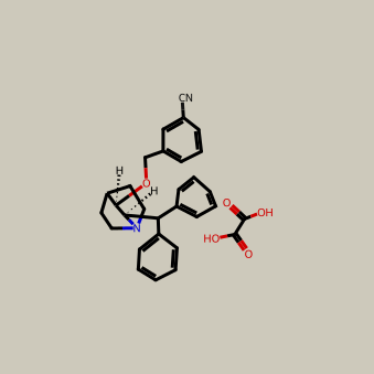 N#Cc1cccc(CO[C@@H]2C3CCN(CC3)[C@@H]2C(c2ccccc2)c2ccccc2)c1.O=C(O)C(=O)O